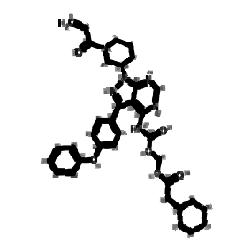 C=CC(=O)N1CCC[C@@H](n2nc(-c3ccc(Oc4ccccc4)cc3)c3c(NC(=O)OCOC(=O)CC4CCCCC4)ncnc32)C1